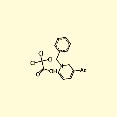 CC(=O)C1=CC=CN(Cc2ccccc2)C1.O=C(O)C(Cl)(Cl)Cl